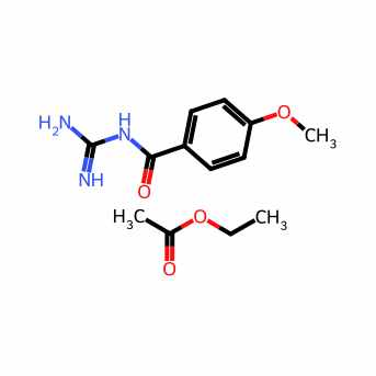 CCOC(C)=O.COc1ccc(C(=O)NC(=N)N)cc1